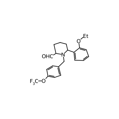 CCOc1ccccc1C1CCCC(C=O)N1Cc1ccc(OC(F)(F)F)cc1